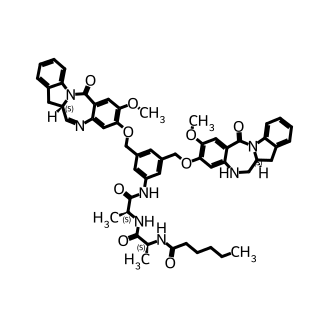 CCCCCC(=O)N[C@@H](C)C(=O)N[C@@H](C)C(=O)Nc1cc(COc2cc3c(cc2OC)C(=O)N2c4ccccc4C[C@H]2C=N3)cc(COc2cc3c(cc2OC)C(=O)N2c4ccccc4C[C@H]2CN3)c1